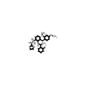 COc1ccc(Cc2cccc(S(=O)(=O)Nc3nccs3)c2NC(C)c2ccccc2F)c(OC)c1